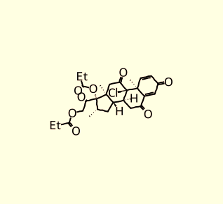 CCC(=O)OCC(=O)[C@]1(OC(=O)CC)[C@@H](C)C[C@H]2[C@@H]3CC(=O)C4=CC(=O)C=C[C@]4(C)[C@@]3(Cl)C(=O)C[C@@]21C